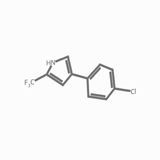 FC(F)(F)c1cc(-c2ccc(Cl)cc2)c[nH]1